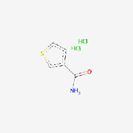 Cl.Cl.NC(=O)c1ccsc1